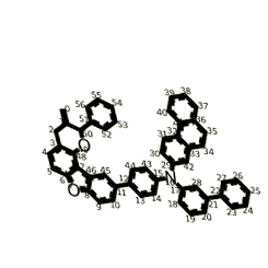 C=C1Cc2ccc3oc4ccc(-c5ccc(N(c6cccc(-c7ccccc7)c6)c6ccc7c(ccc8ccccc87)c6)cc5)cc4c3c2OC1c1ccccc1